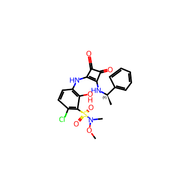 CON(C)S(=O)(=O)c1c(Cl)ccc(Nc2c(N[C@H](C)c3ccccc3)c(=O)c2=O)c1O